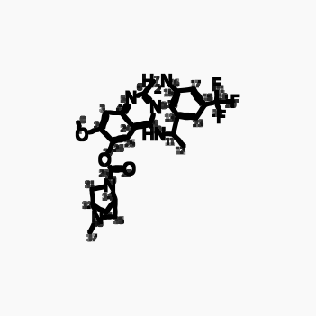 COc1cc2nc(C)nc(NC(C)c3cc(N)cc(C(F)(F)F)c3)c2cc1OC(=O)N1CC2CC1CN2C